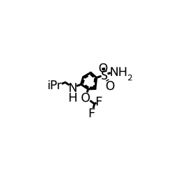 CC(C)CNc1ccc(S(N)(=O)=O)cc1OC(F)F